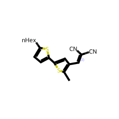 [C-]#[N+]/C(C#N)=C\c1cc(-c2ccc(CCCCCC)s2)sc1C